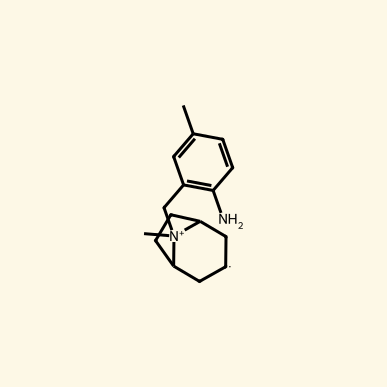 Cc1ccc(N)c(C[N+]2(C)C3C[CH]CC2CC3)c1